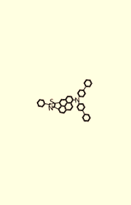 c1ccc(-c2ccc(N(c3ccc(-c4ccccc4)cc3)c3ccc4cc5c6c(ccc7ccc3c4c76)-c3nc(-c4ccccc4)sc3-5)cc2)cc1